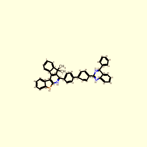 CC1(C)c2ccccc2-c2c1c(-c1ccc(-c3ccc(-c4nc(-c5ccccc5)c5ccccc5n4)cc3)cc1)nc1sc3ccccc3c21